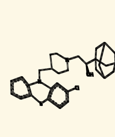 O[C@@H](CN1CCC(CN2c3ccccc3Sc3ccc(Cl)cc32)CC1)C12CC3CC(CC(C3)C1)C2